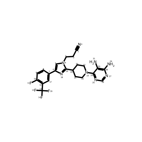 N#CCCn1cc(-c2ccc(F)c(C(F)(F)F)c2)nc1C1CCN(c2ncnc(N)c2N)CC1